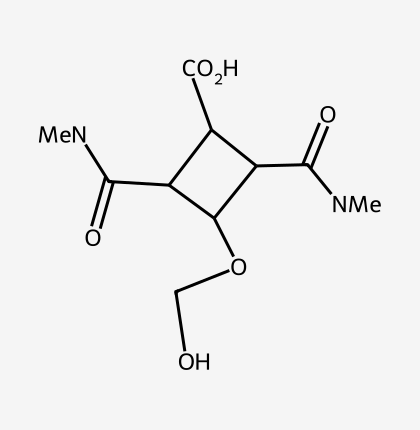 CNC(=O)C1C(OCO)C(C(=O)NC)C1C(=O)O